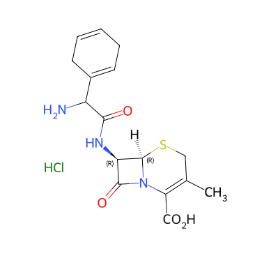 CC1=C(C(=O)O)N2C(=O)[C@@H](NC(=O)C(N)C3=CCC=CC3)[C@H]2SC1.Cl